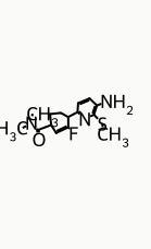 CSc1nc(C2CCC(C(=O)N(C)C)C=C2F)ccc1N